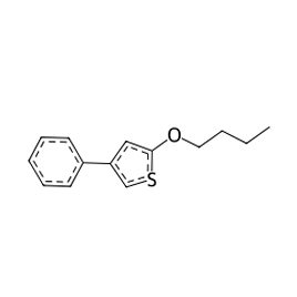 CCCCOc1cc(-c2ccccc2)cs1